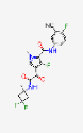 Cn1cc(C(=O)C(=O)NC2(C)CC(F)(F)C2)c(F)c1C(=O)Nc1ccc(F)c(C#N)c1